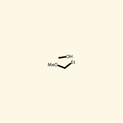 CCCOC.CO